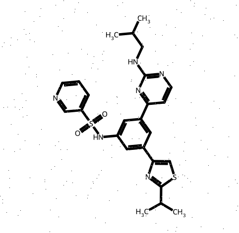 CC(C)CNc1nccc(-c2cc(NS(=O)(=O)c3cccnc3)cc(-c3csc(C(C)C)n3)c2)n1